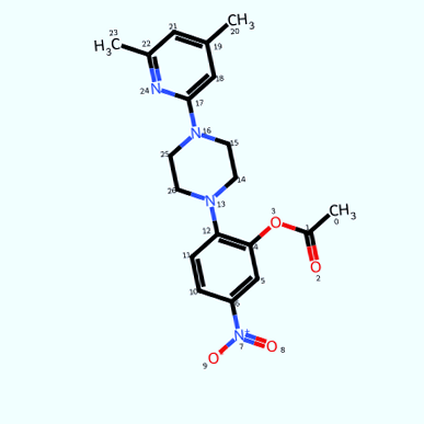 CC(=O)Oc1cc([N+](=O)[O-])ccc1N1CCN(c2cc(C)cc(C)n2)CC1